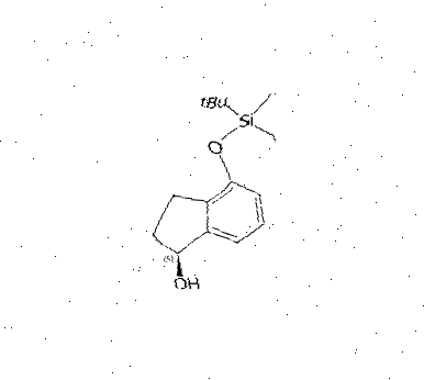 CC(C)(C)[Si](C)(C)Oc1cccc2c1CC[C@@H]2O